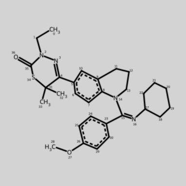 CCN1N=C(c2ccc3c(c2)CCCN3/C(=N\C2CCCCC2)c2ccc(OC)cc2)C(C)(C)SC1=O